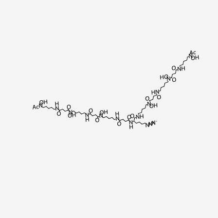 CC(=O)N(O)CCCCCNC(=O)CCC(=O)N(O)CCCCCNC(=O)CCC(=O)N(O)CCCCCNC(=O)CCC(=O)NC(CCCCN=[N+]=[N-])C(=O)NCCCCCN(O)C(=O)CCC(=O)NCCCCCN(O)C(=O)CCC(=O)NCCCCCN(O)C(C)=O